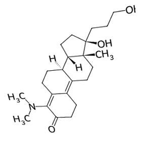 CN(C)C1=C2CC[C@@H]3C(=C2CCC1=O)CC[C@]1(C)[C@H]3CC[C@]1(O)CCCO